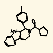 Cc1ccc(C2c3[nH]c4ccccc4c3CCN2C(=O)C2CCCC2)cc1